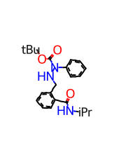 CC(C)NC(=O)c1ccccc1CNN(C(=O)OC(C)(C)C)c1ccccc1